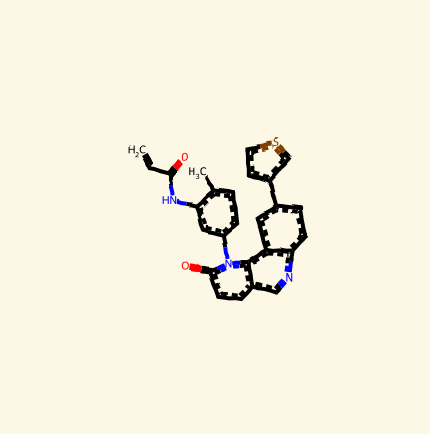 C=CC(=O)Nc1cc(-n2c(=O)ccc3cnc4ccc(-c5ccsc5)cc4c32)ccc1C